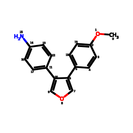 COc1ccc(-c2cocc2-c2ccc(N)cc2)cc1